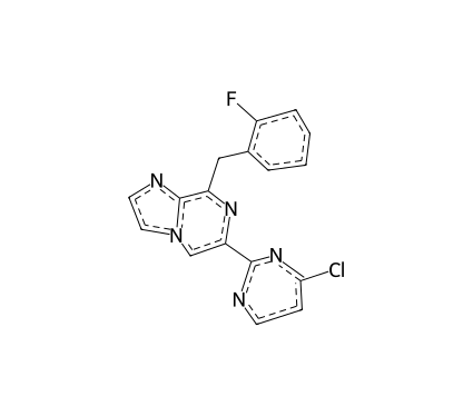 Fc1ccccc1Cc1nc(-c2nccc(Cl)n2)cn2ccnc12